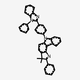 CC1(C)C(c2ccccc2)=Nc2c1ccc1c2c2ccccc2n1-c1ccc(-c2nc3ccccc3n2-c2ccccc2)cc1